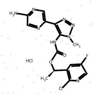 C[C@@H](OC(=O)Nc1c(-c2cnc(N)cn2)nnn1C)c1cc(F)cnc1Cl.Cl